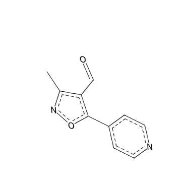 Cc1noc(-c2ccncc2)c1C=O